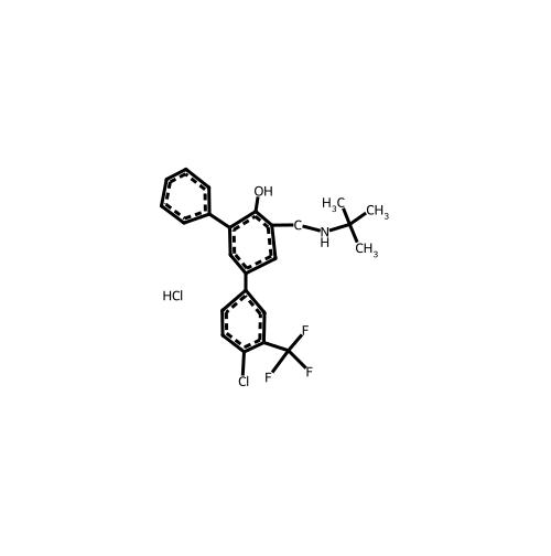 CC(C)(C)NCc1cc(-c2ccc(Cl)c(C(F)(F)F)c2)cc(-c2ccccc2)c1O.Cl